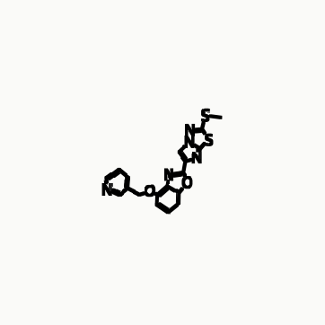 CSc1nn2cc(-c3nc4c(OCc5cccnc5)cccc4o3)nc2s1